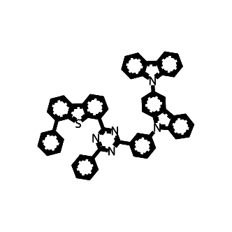 c1ccc(-c2nc(-c3cccc(-n4c5ccccc5c5cc(-n6c7ccccc7c7ccccc76)ccc54)c3)nc(-c3cccc4c3sc3c(-c5ccccc5)cccc34)n2)cc1